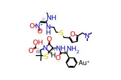 CC1(C)S[C@@H]2[C@H](NC(=O)[C@H](N)c3ccccc3)C(=O)N2[C@H]1C(=O)O.CN/C(=C/[N+](=O)[O-])NCCSCc1ccc(CN(C)C)o1.[Au+]